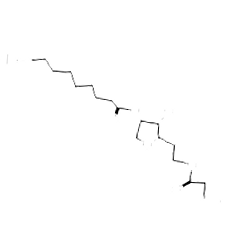 CCCCCCCCCCCCCCCCCC(=O)O[C@H]1CO[C@H]([C@H](O)COC(=O)CCCCCCCCCCC)[C@@H]1O